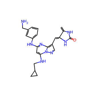 C=c1[nH]c(=O)[nH]/c1=C\c1cnn2c(NCC3CC3)cc(Nc3cccc(CN)c3)nc12